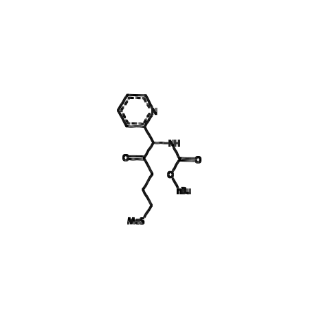 CCCCOC(=O)NC(C(=O)CCCSC)c1ccccn1